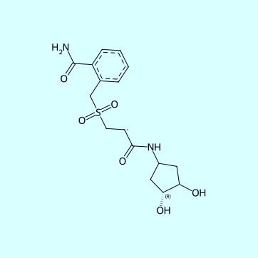 NC(=O)c1ccccc1CS(=O)(=O)C[CH]C(=O)NC1CC(O)[C@H](O)C1